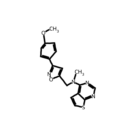 COc1ccc(-c2cc(CN(C)c3ncnc4sccc34)on2)cc1